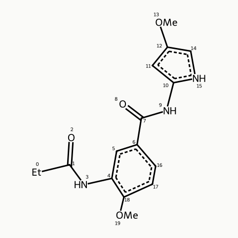 CCC(=O)Nc1cc(C(=O)Nc2cc(OC)c[nH]2)ccc1OC